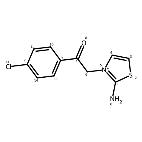 Nc1scc[n+]1CC(=O)c1ccc(Cl)cc1